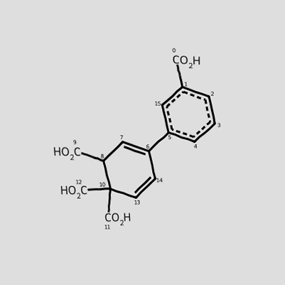 O=C(O)c1cccc(C2=CC(C(=O)O)C(C(=O)O)(C(=O)O)C=C2)c1